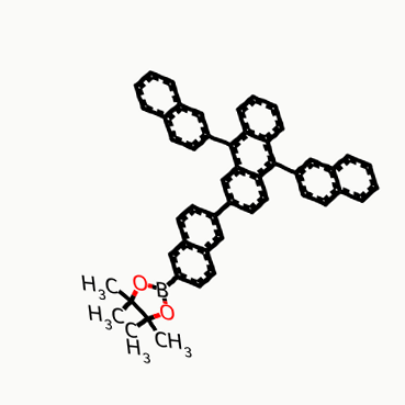 CC1(C)OB(c2ccc3cc(-c4ccc5c(-c6ccc7ccccc7c6)c6ccccc6c(-c6ccc7ccccc7c6)c5c4)ccc3c2)OC1(C)C